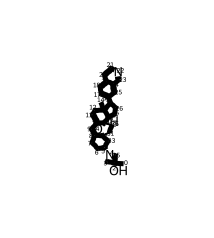 CC1(O)CN(C2CCC3=CC4=CCC5(C)C(c6ccc7ccncc7c6)CC[C@H]5[C@@]45CC[C@]3(C2)O5)C1